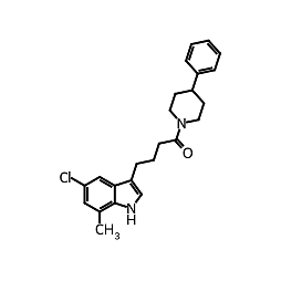 Cc1cc(Cl)cc2c(CCCC(=O)N3CCC(c4ccccc4)CC3)c[nH]c12